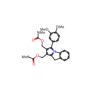 CNC(=O)OCc1c(COC(=O)NC)c(-c2ccc(OC)c(OC)c2)n2c1Cc1ccccc1-2